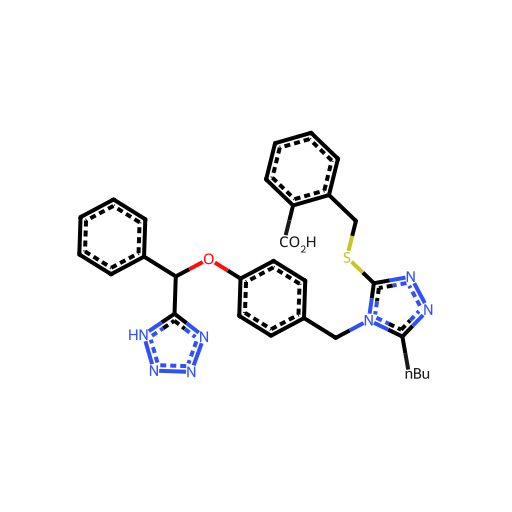 CCCCc1nnc(SCc2ccccc2C(=O)O)n1Cc1ccc(OC(c2ccccc2)c2nnn[nH]2)cc1